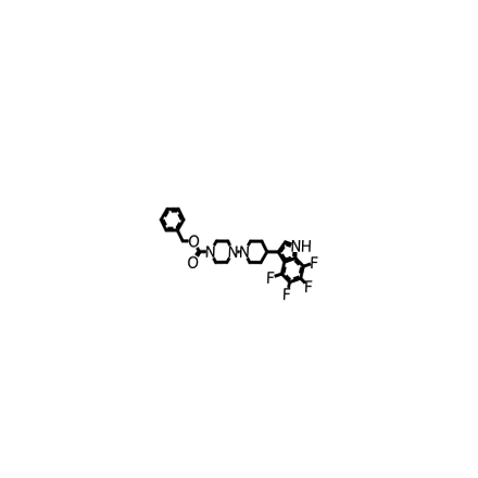 O=C(OCc1ccccc1)N1CCN(N2CCC(c3c[nH]c4c(F)c(F)c(F)c(F)c34)CC2)CC1